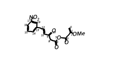 C=C(OC)C(=O)OC(=O)CC(=O)C=Cc1cccc([N+](=O)[O-])c1